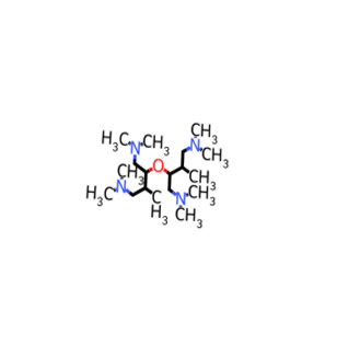 CC(CN(C)C)C(CN(C)C)OC(CN(C)C)C(C)CN(C)C